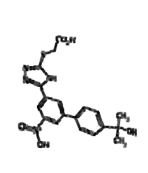 CC(C)(O)c1ccc(-c2cc(-c3nnc(SCC(=O)O)[nH]3)cc([N+](=O)O)c2)cc1